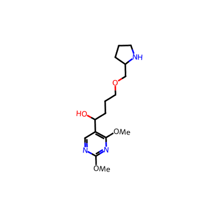 COc1ncc(C(O)CCCOCC2CCCN2)c(OC)n1